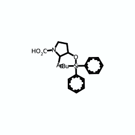 CC(=O)C1C(O[Si](c2ccccc2)(c2ccccc2)C(C)(C)C)CCN1C(=O)O